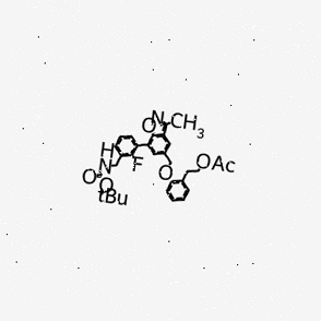 CC(=O)OCCc1ccccc1OCc1cc(-c2cccc(CNC(=O)OC(C)(C)C)c2F)c2onc(C)c2c1